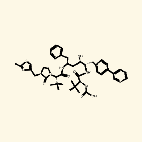 Cc1nc(CN2CCN([C@H](C(=O)N[C@@H](Cc3ccccc3)C[C@@H](O)[C@H](Cc3ccc(-c4cccnc4)cc3)NC(=O)[C@@H](NC(=O)O)C(C)(C)C)C(C)(C)C)C2=O)cs1